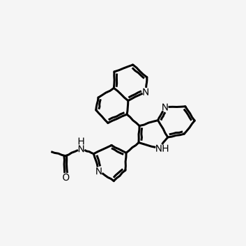 CC(=O)Nc1cc(-c2[nH]c3cccnc3c2-c2cccc3cccnc23)ccn1